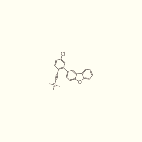 C[Si](C)(C)C#Cc1ccc(Cl)cc1-c1ccc2oc3ccccc3c2c1